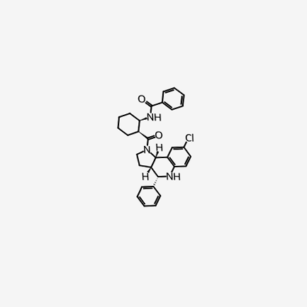 O=C(N[C@@H]1CCCC[C@@H]1C(=O)N1CC[C@H]2[C@@H](c3ccccc3)Nc3ccc(Cl)cc3[C@H]21)c1ccccc1